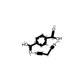 N#CCC#N.O=C(O)c1ccc(C(=O)O)cc1